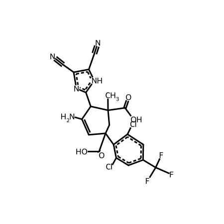 CC1(C(=O)O)CC(C(=O)O)(c2c(Cl)cc(C(F)(F)F)cc2Cl)C=C(N)C1c1nc(C#N)c(C#N)[nH]1